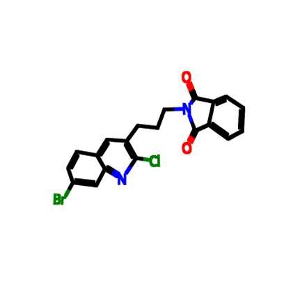 O=C1c2ccccc2C(=O)N1CCCc1cc2ccc(Br)cc2nc1Cl